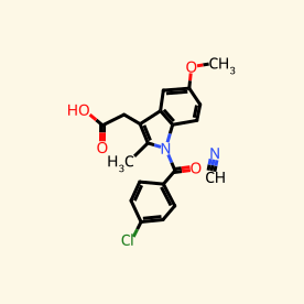 C#N.COc1ccc2c(c1)c(CC(=O)O)c(C)n2C(=O)c1ccc(Cl)cc1